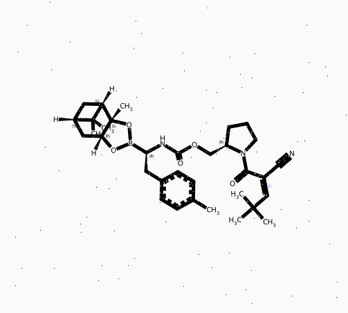 Cc1ccc(C[C@H](NC(=O)OC[C@H]2CCCN2C(=O)/C(C#N)=C\C(C)(C)C)B2O[C@@H]3C[C@@H]4C[C@@H](C4(C)C)[C@]3(C)O2)cc1